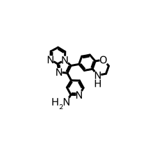 Nc1cc(-c2nc3ncccn3c2-c2ccc3c(c2)NCCO3)ccn1